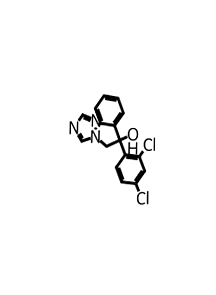 OC(Cn1cncn1)(c1ccccc1)c1ccc(Cl)cc1Cl